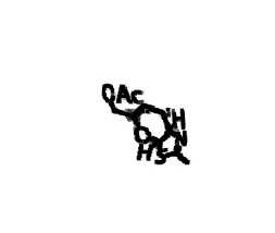 CC(=O)OC[C@H]1[C][C][C@H]2N=C(C)S[C@H]2O1